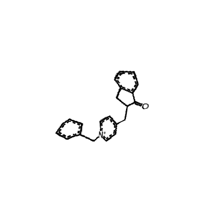 O=C1c2ccccc2CC1Cc1cc[n+](Cc2ccccc2)cc1